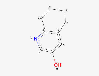 Oc1cnc2c(c1)CCCC2